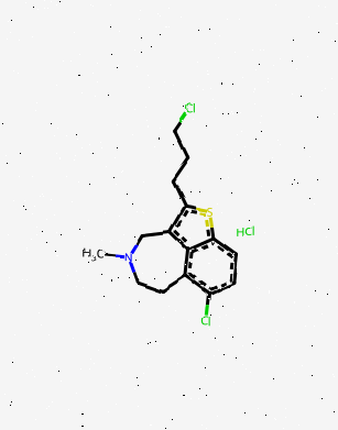 CN1CCc2c(Cl)ccc3sc(CCCCl)c(c23)C1.Cl